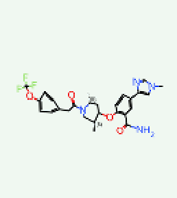 C[C@@H]1CC(Oc2ccc(-c3cn(C)cn3)cc2C(N)=O)[C@@H](C)CN1C(=O)Cc1ccc(OC(F)(F)F)cc1